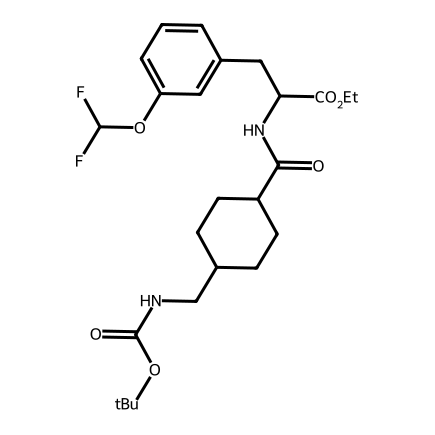 CCOC(=O)C(Cc1cccc(OC(F)F)c1)NC(=O)C1CCC(CNC(=O)OC(C)(C)C)CC1